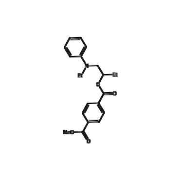 CCC(CN(CC)c1ccccc1)OC(=O)c1ccc(C(=O)OC)cc1